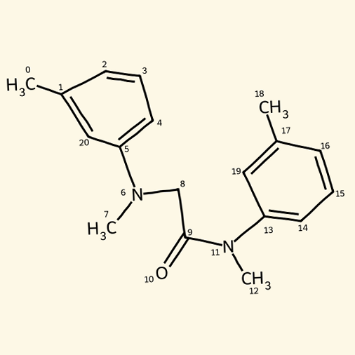 Cc1cccc(N(C)CC(=O)N(C)c2cccc(C)c2)c1